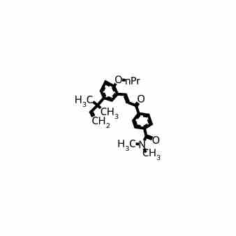 C=CC(C)(C)c1ccc(OCCC)c(C=CC(=O)c2ccc(C(=O)N(C)C)cc2)c1